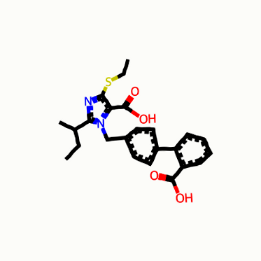 CCSc1nc(C(C)CC)n(Cc2ccc(-c3ccccc3C(=O)O)cc2)c1C(=O)O